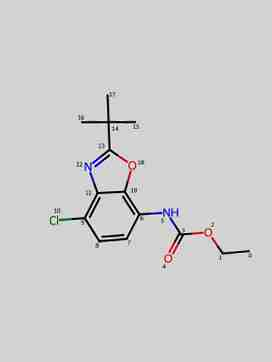 CCOC(=O)Nc1ccc(Cl)c2nc(C(C)(C)C)oc12